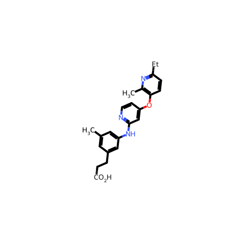 CCc1ccc(Oc2ccnc(Nc3cc(C)cc(CCC(=O)O)c3)c2)c(C)n1